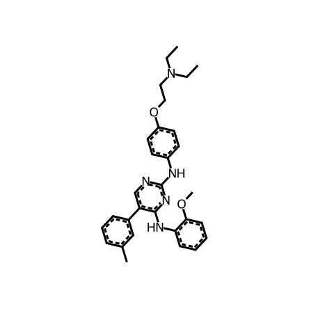 CCN(CC)CCOc1ccc(Nc2ncc(-c3cccc(C)c3)c(Nc3ccccc3OC)n2)cc1